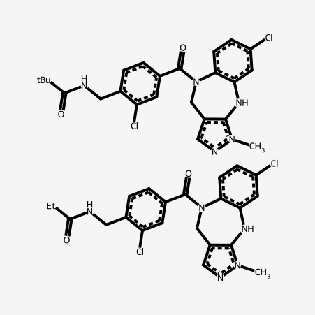 CCC(=O)NCc1ccc(C(=O)N2Cc3cnn(C)c3Nc3cc(Cl)ccc32)cc1Cl.Cn1ncc2c1Nc1cc(Cl)ccc1N(C(=O)c1ccc(CNC(=O)C(C)(C)C)c(Cl)c1)C2